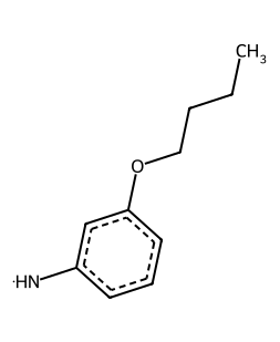 CCCCOc1cccc([NH])c1